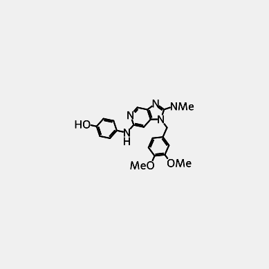 CNc1nc2cnc(Nc3ccc(O)cc3)cc2n1Cc1ccc(OC)c(OC)c1